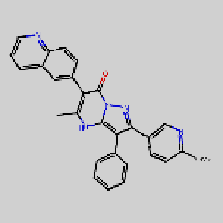 COc1ccc(-c2nn3c(=O)c(-c4ccc5ncccc5c4)c(C)[nH]c3c2-c2ccccc2)cn1